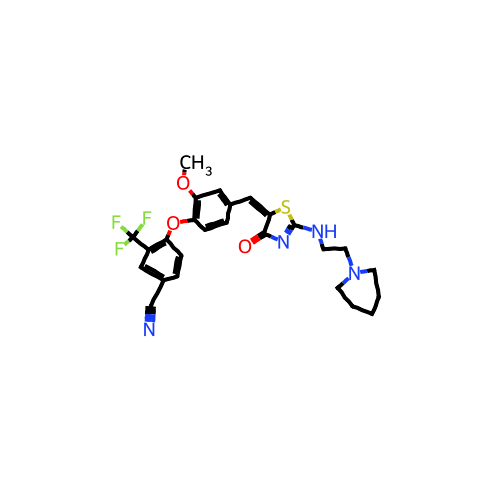 COc1cc(/C=C2/SC(NCCN3CCCCC3)=NC2=O)ccc1Oc1ccc(C#N)cc1C(F)(F)F